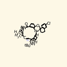 C[C@@H]1[C@@H](C)C/C=C/[C@@](O)(CNC(C)(C)C)[C@@H]2CC[C@H]2CN2C[C@@]3(CCCc4cc(Cl)ccc43)COc3ccc(cc32)C(=O)NS1(=O)=O